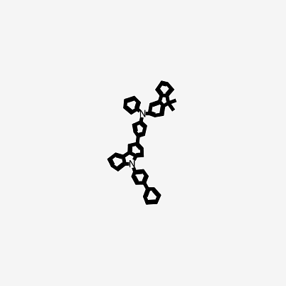 CC1(C)c2ccccc2-c2cc(N(c3ccccc3)c3ccc(-c4ccc5c(c4)c4ccccc4n5-c4ccc(-c5ccccc5)cc4)cc3)ccc21